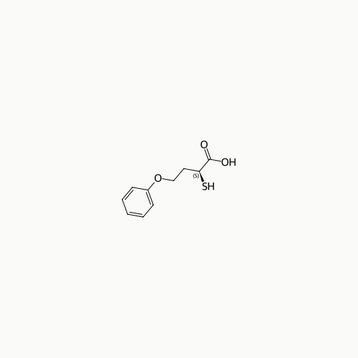 O=C(O)[C@@H](S)CCOc1ccccc1